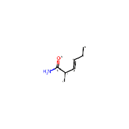 CCC=CC(C)C(N)=O